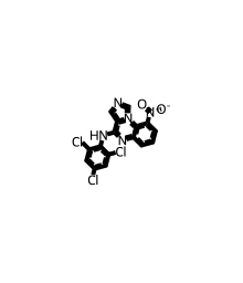 O=[N+]([O-])c1cccc2nc(Nc3c(Cl)cc(Cl)cc3Cl)c3cncn3c12